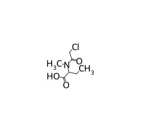 CCC(C(=O)O)N(C)C(=O)CCl